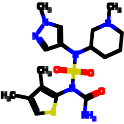 Cc1csc(N(C(N)=O)S(=O)(=O)N(c2cnn(C)c2)C2CCCN(C)C2)c1C